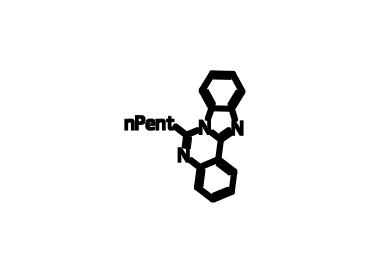 CCCCCc1nc2ccccc2c2nc3ccccc3n12